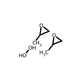 CC1CO1.CC1CO1.OO